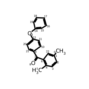 Cc1ccc(C)c(C(=O)c2ccc(Oc3ccccc3)cc2)c1